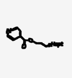 CCCCCCCCCCOC(=O)c1ccncc1